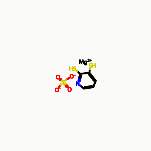 O=S(=O)([O-])[O-].Sc1cccnc1S.[Mg+2]